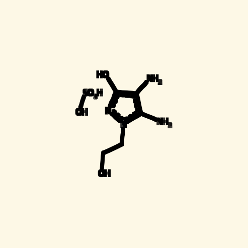 Nc1c(O)nn(CCO)c1N.O=S(=O)(O)O